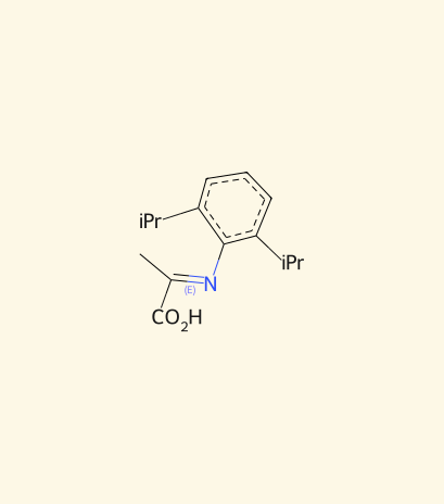 C/C(=N\c1c(C(C)C)cccc1C(C)C)C(=O)O